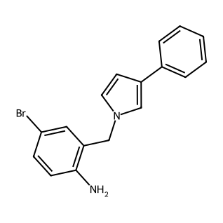 Nc1ccc(Br)cc1Cn1ccc(-c2ccccc2)c1